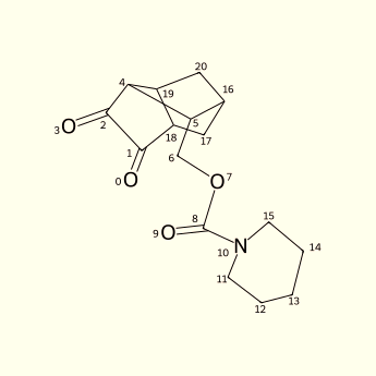 O=C1C(=O)C2C(COC(=O)N3CCCCC3)C3CC1C2C3